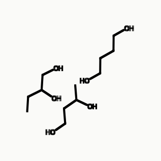 CC(O)CCO.CCC(O)CO.OCCCCO